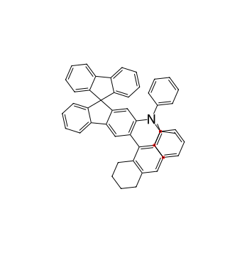 CC(C)c1ccc2c(c1-c1cc3c(cc1N(c1ccccc1)c1ccccc1)C1(c4ccccc4-c4ccccc41)c1ccccc1-3)CCCC2